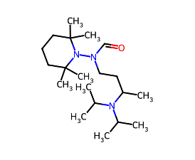 CC(C)N(C(C)C)C(C)CCN(C=O)N1C(C)(C)CCCC1(C)C